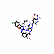 CN1CCOc2cc(-c3ncc4c(n3)CN(C(=O)c3cc(CN5C(=N)N[C@](CCCC(F)(F)F)(c6ccc(F)cc6)C5=O)ccc3C(F)(F)F)C4)cnc21